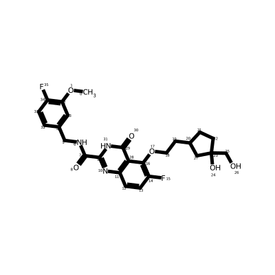 COc1cc(CNC(=O)c2nc3ccc(F)c(OCCC4CCC(O)(CO)C4)c3c(=O)[nH]2)ccc1F